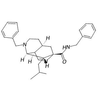 CC(C)C[C@@H]1[C@@H]2[C@@H]3C=N[C@@]1(C(=O)NCc1ccccc1)C[C@@H]3CCN2Cc1ccccc1